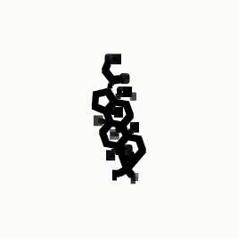 C[C@]12CC[C@@H]3[C@H]4CC[C@@]5(O)C([C@H]4CC[C@H]3[C@@H]1CC[C@@H]2C(=O)CO)C5(F)F